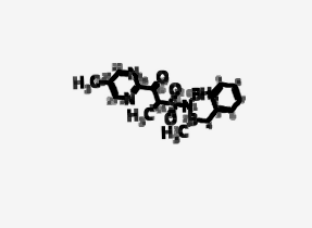 BN(B(C)Cc1ccccc1)S(=O)(=O)C(C)C(=O)c1ncc(C)cn1